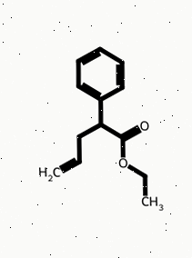 C=CCC(C(=O)OCC)c1ccccc1